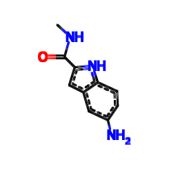 CNC(=O)c1cc2cc(N)ccc2[nH]1